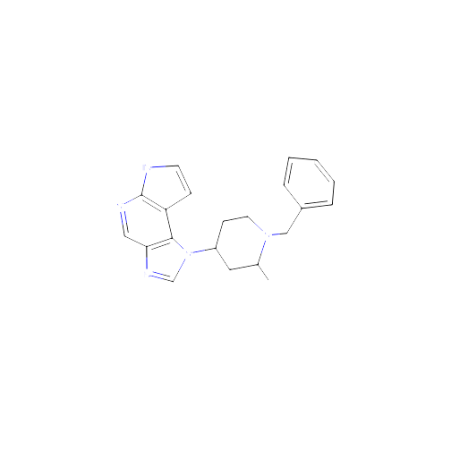 CC1CC(n2cnc3cnc4[nH]ccc4c32)CCN1Cc1ccccc1